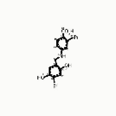 CC(C)c1cc(NCc2cc(O)c(Br)cc2O)ccc1C(=O)O